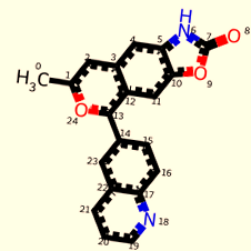 Cc1cc2cc3[nH]c(=O)oc3cc2c(-c2ccc3ncccc3c2)[o+]1